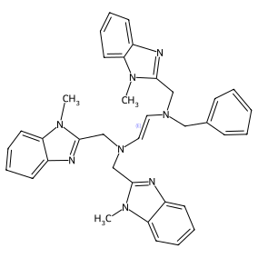 Cn1c(CN(/C=C/N(Cc2nc3ccccc3n2C)Cc2nc3ccccc3n2C)Cc2ccccc2)nc2ccccc21